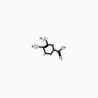 CC1=C(C)CC(C(=O)Cl)CC1